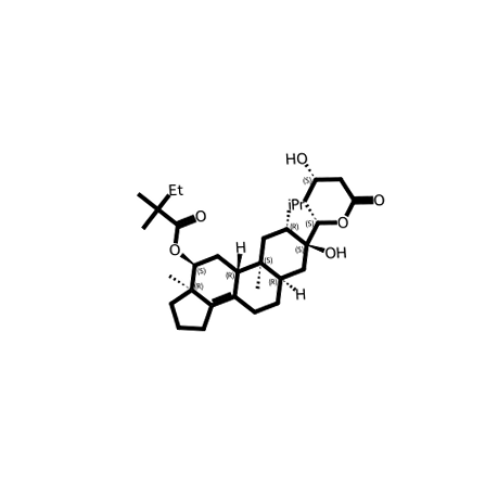 CCC(C)(C)C(=O)O[C@H]1C[C@H]2C(=C3CCC[C@]31C)CC[C@@H]1C[C@@](O)([C@@H]3C[C@H](O)CC(=O)O3)[C@@H](C(C)C)C[C@@]12C